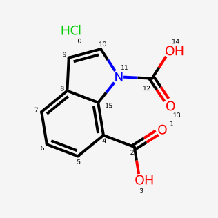 Cl.O=C(O)c1cccc2ccn(C(=O)O)c12